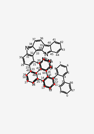 c1ccc(-c2ccccc2-c2ccccc2-c2nnnc(-c3c(-c4ccccc4)ccc4c3-c3c5c(ccc3=N4)=c3ccccc3=N5)c2-c2ccccc2-c2ccccc2-c2ccccc2)cc1